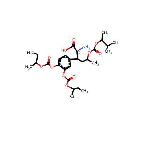 CCC(C)OC(=O)Oc1ccc(C(CC(C)OC(=O)OC(C)C(C)C)[C@H](N)C(=O)O)cc1OC(=O)OC(C)CC